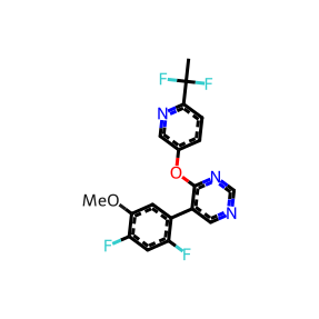 COc1cc(-c2cncnc2Oc2ccc(C(C)(F)F)nc2)c(F)cc1F